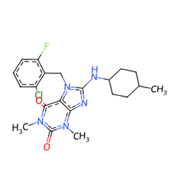 CC1CCC(Nc2nc3c(c(=O)n(C)c(=O)n3C)n2Cc2c(F)cccc2Cl)CC1